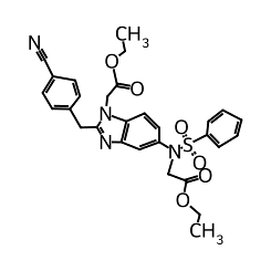 CCOC(=O)CN(c1ccc2c(c1)nc(Cc1ccc(C#N)cc1)n2CC(=O)OCC)S(=O)(=O)c1ccccc1